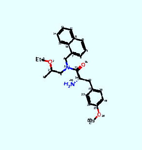 CCOC(C)CN(Cc1cccc2ccccc12)C(=O)[C@@H](N)Cc1ccc(OC(C)(C)C)cc1